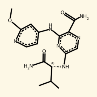 COc1cc(Nc2nc(N[C@@H](C(N)=O)C(C)C)cnc2C(N)=O)ccn1